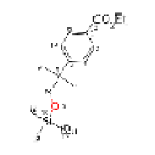 CCOC(=O)c1ccc(C(C)(C)CO[Si](C)(C)C(C)(C)C)cc1